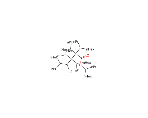 CCCCCCC(CCC)OC(=O)C(C(CCC)CCCCCC)(C(CCC)CCCCCC)C(C(CCC)CCCCCC)(C(CCC)CCCCCC)C(CC)C(CCC)CCCCCC